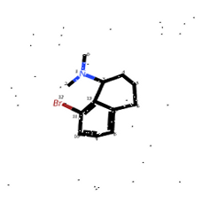 CN(C)C1CCCc2cccc(Br)c21